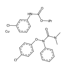 CC(C)OC(=O)Nc1cccc(Cl)c1.CN(C)C(=O)N(Oc1ccc(Cl)cc1)c1ccccc1.[Cu]